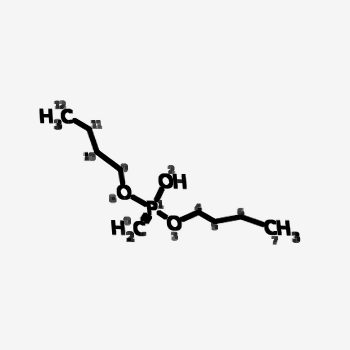 C=P(O)(OCCCC)OCCCC